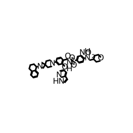 O=C(NS(=O)(=O)c1ccc(NCC2CCOCC2)c([N+](=O)[O-])c1)c1ccc(N2CCC3(CC2)CN(C2CCCc4ccccc42)C3)cc1Oc1cnc2[nH]ccc2c1